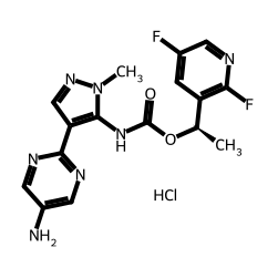 C[C@@H](OC(=O)Nc1c(-c2ncc(N)cn2)cnn1C)c1cc(F)cnc1F.Cl